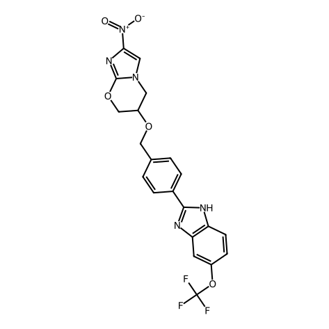 O=[N+]([O-])c1cn2c(n1)OCC(OCc1ccc(-c3nc4cc(OC(F)(F)F)ccc4[nH]3)cc1)C2